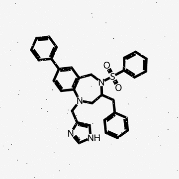 O=S(=O)(c1ccccc1)N1Cc2cc(-c3ccccc3)ccc2N(Cc2c[nH]cn2)CC1Cc1ccccc1